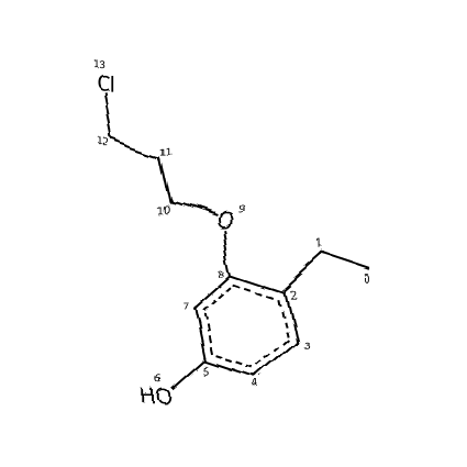 CCc1c[c]c(O)cc1OCCCCl